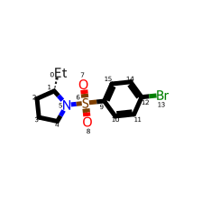 CC[C@H]1CCCN1S(=O)(=O)c1ccc(Br)cc1